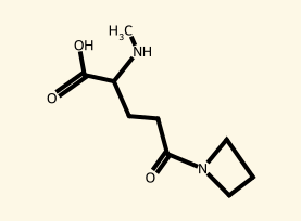 CNC(CCC(=O)N1CCC1)C(=O)O